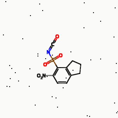 O=C=NS(=O)(=O)c1c([N+](=O)[O-])ccc2c1CCC2